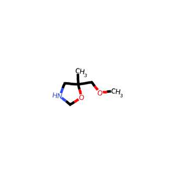 COCC1(C)CNCO1